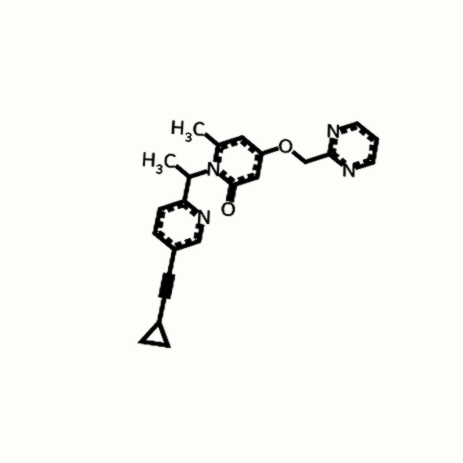 Cc1cc(OCc2ncccn2)cc(=O)n1C(C)c1ccc(C#CC2CC2)cn1